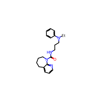 CCN(CCCNC(=O)N1CCCCc2cccnc21)c1ccccc1